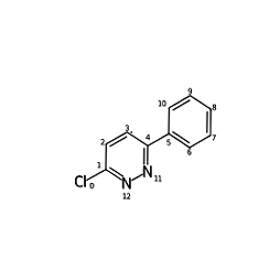 Clc1c[c]c(-c2ccccc2)nn1